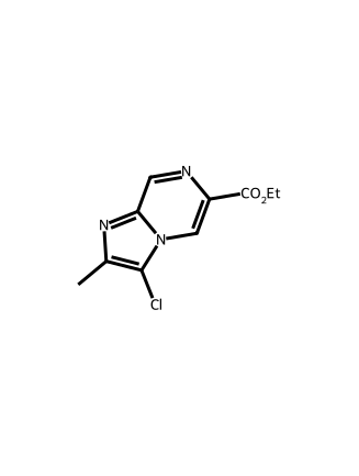 CCOC(=O)c1cn2c(Cl)c(C)nc2cn1